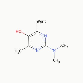 CCCCCc1nc(N(C)C)nc(C)c1O